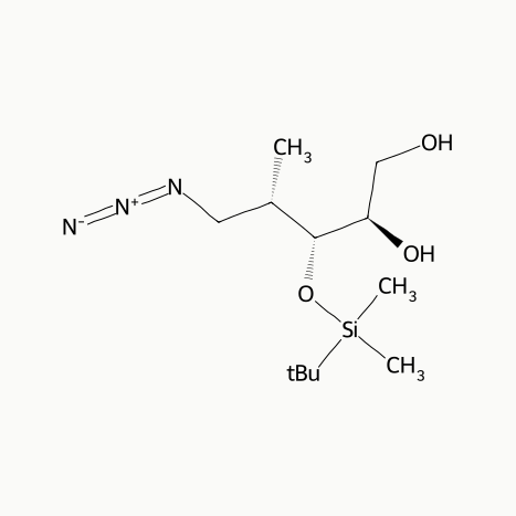 C[C@@H](CN=[N+]=[N-])[C@@H](O[Si](C)(C)C(C)(C)C)[C@H](O)CO